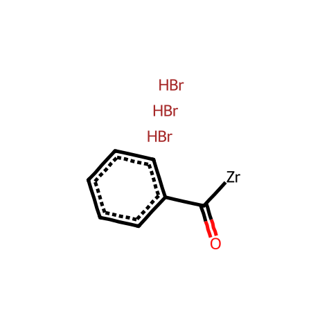 Br.Br.Br.O=[C]([Zr])c1ccccc1